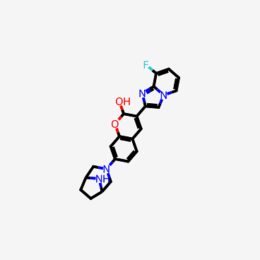 OC1Oc2cc(N3CC4CCC(C3)N4)ccc2C=C1c1cn2cccc(F)c2n1